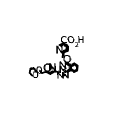 O=C(O)c1ccc(COc2nn3c(-c4cc(COC5CCCCO5)on4)nnc3c3ccccc23)nc1